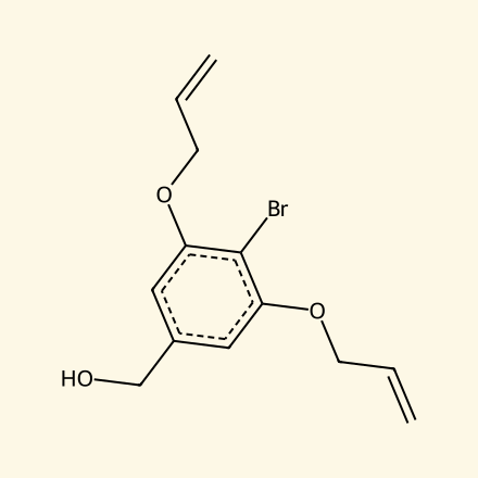 C=CCOc1cc(CO)cc(OCC=C)c1Br